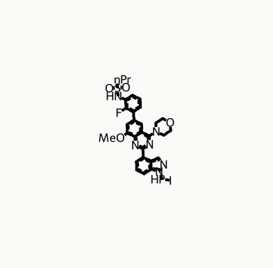 CCCS(=O)(=O)Nc1cccc(-c2cc(OC)c3nc(-c4cccc5c4cnn5PI)nc(N4CCOCC4)c3c2)c1F